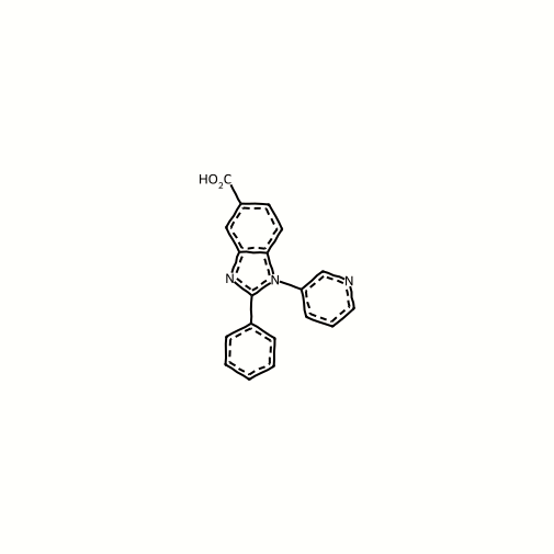 O=C(O)c1ccc2c(c1)nc(-c1ccccc1)n2-c1cccnc1